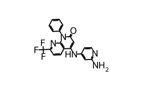 Nc1cc(Nc2cc(=O)n(-c3ccccc3)c3nc(C(F)(F)F)ccc23)ccn1